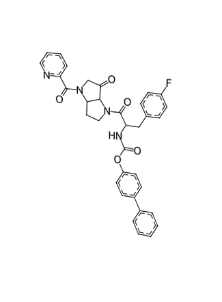 O=C(NC(Cc1ccc(F)cc1)C(=O)N1CCC2C1C(=O)CN2C(=O)c1ccccn1)Oc1ccc(-c2ccccc2)cc1